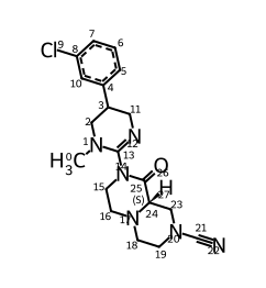 CN1CC(c2cccc(Cl)c2)CN=C1N1CCN2CCN(C#N)C[C@H]2C1=O